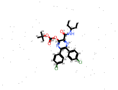 CCC(CC)NC(=O)c1nc(-c2ccc(Cl)cc2)c(-c2ccc(Cl)cc2)nc1OC(=O)OC(C)(C)C